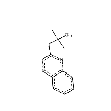 CC(C)(O)Cc1ccc2c[c]ccc2n1